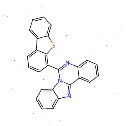 c1ccc2c(c1)nc(-c1cccc3c1sc1ccccc13)n1c3ccccc3nc21